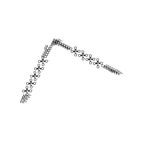 O.O.O.O.O=P([O-])([O-])[O-].O=P([O-])([O-])[O-].O=P([O-])([O-])[O-].O=P([O-])([O-])[O-].O=P([O-])([O-])[O-].O=P([O-])([O-])[O-].O=P([O-])([O-])[O-].O=P([O-])([O-])[O-].O=P([O-])([O-])[O-].[Be+2].[Be+2].[Be+2].[Be+2].[Ca+2].[Ca+2].[Ca+2].[Ca+2].[Fe+3].[Fe+3].[Fe+3].[Fe+3].[Mn+2].[Mn+2].[Mn+2].[Mn+2].[OH-].[OH-].[OH-].[OH-].[OH-].[OH-].[OH-].[OH-].[OH-]